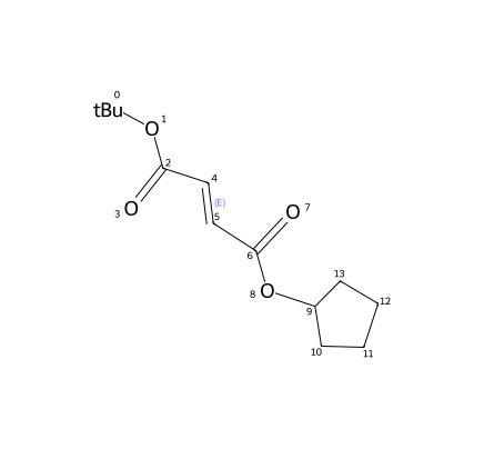 CC(C)(C)OC(=O)/C=C/C(=O)OC1CCCC1